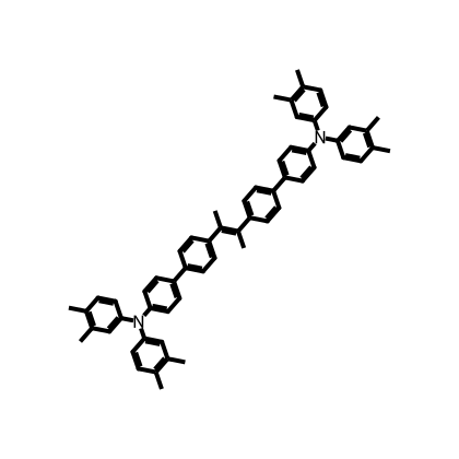 C/C(=C(/C)c1ccc(-c2ccc(N(c3ccc(C)c(C)c3)c3ccc(C)c(C)c3)cc2)cc1)c1ccc(-c2ccc(N(c3ccc(C)c(C)c3)c3ccc(C)c(C)c3)cc2)cc1